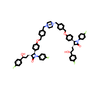 O=C1[C@H](CC[C@H](O)c2ccc(F)cc2)[C@@H](c2ccc(OCc3ccc(C[N+]45CC[N+](Cc6ccc(COc7ccc([C@@H]8[C@@H](CC[C@H](O)c9ccc(F)cc9)C(=O)N8c8ccc(F)cc8)cc7)cc6)(CC4)CC5)cc3)cc2)N1c1ccc(F)cc1